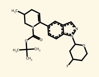 CC1CC=C(c2ccc3c(cnn3C3CC(F)CCO3)c2)N(C(=O)OC(C)(C)C)C1